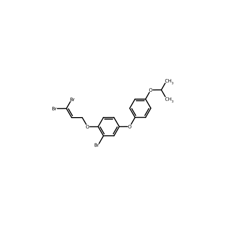 CC(C)Oc1ccc(Oc2ccc(OCC=C(Br)Br)c(Br)c2)cc1